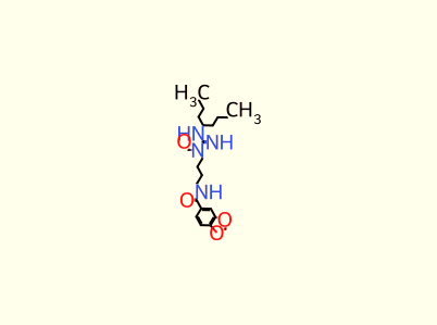 CCCCC(CCCC)NC(=N)N(C=O)CCCCNC(=O)c1ccc2c(c1)OCO2